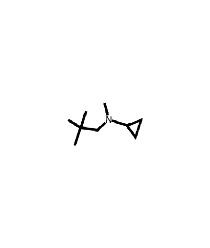 CN(CC(C)(C)C)C1CC1